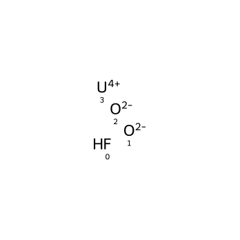 F.[O-2].[O-2].[U+4]